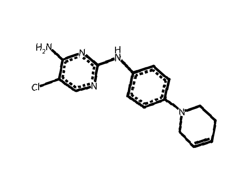 Nc1nc(Nc2ccc(N3CC=CCC3)cc2)ncc1Cl